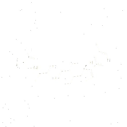 C[C@]12CCC3c4ccc(C(=O)NCC5(C(=O)O)CC5)cc4CCC3C1CC=C2c1cncc(F)c1